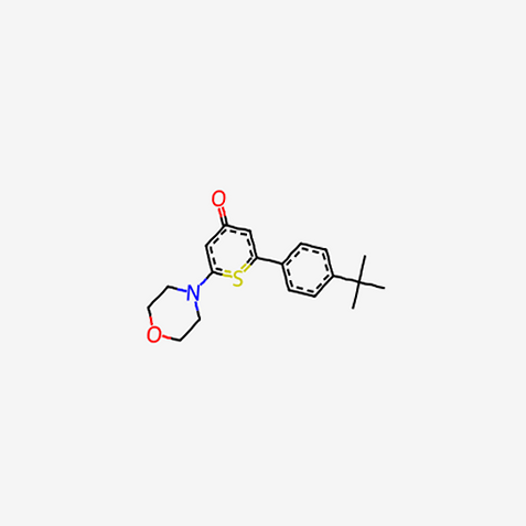 CC(C)(C)c1ccc(-c2cc(=O)cc(N3CCOCC3)s2)cc1